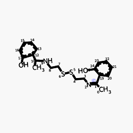 C/C(=N/CCSSCCNC(C)c1ccccc1O)c1ccccc1O